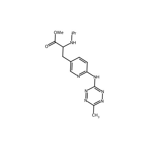 COC(=O)C(Cc1ccc(Nc2nnc(C)nn2)nc1)NC(C)C